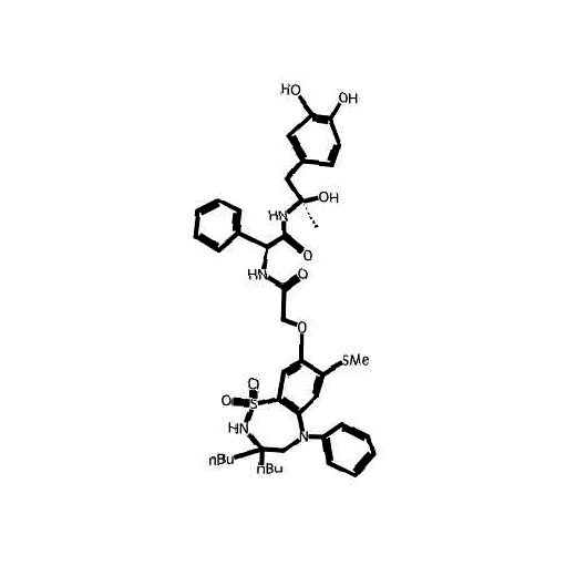 CCCCC1(CCCC)CN(c2ccccc2)c2cc(SC)c(OCC(=O)N[C@H](C(=O)N[C@](C)(O)Cc3ccc(O)c(O)c3)c3ccccc3)cc2S(=O)(=O)N1